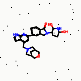 O=C1c2ccc(-c3cc(CN4CC5COCC(C5)C4)c4cc[nH]c4n3)cc2CN1C1CCC(O)NC1O